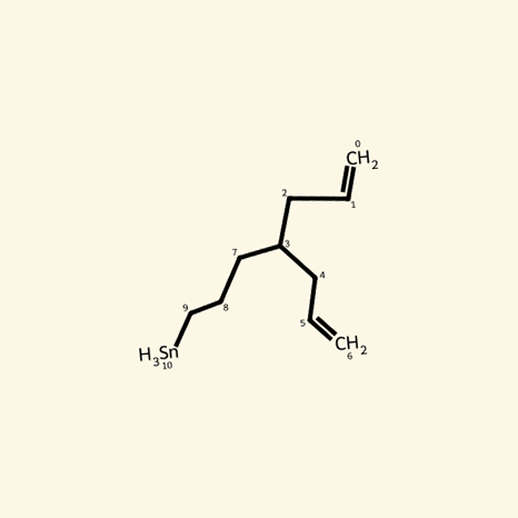 C=CCC(CC=C)CC[CH2][SnH3]